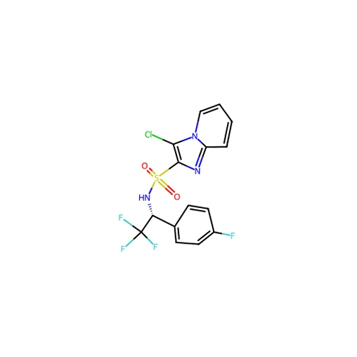 O=S(=O)(N[C@H](c1ccc(F)cc1)C(F)(F)F)c1nc2ccccn2c1Cl